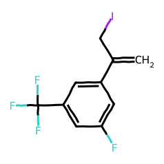 C=C(CI)c1cc(F)cc(C(F)(F)F)c1